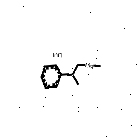 Cl.[CH3][Mg][CH2]C(C)c1ccccc1